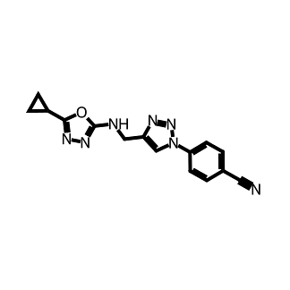 N#Cc1ccc(-n2cc(CNc3nnc(C4CC4)o3)nn2)cc1